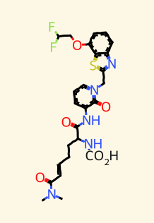 CN(C)C(=O)/C=C/CCC(NC(=O)O)C(=O)Nc1cccn(Cc2nc3cccc(OCC(F)F)c3s2)c1=O